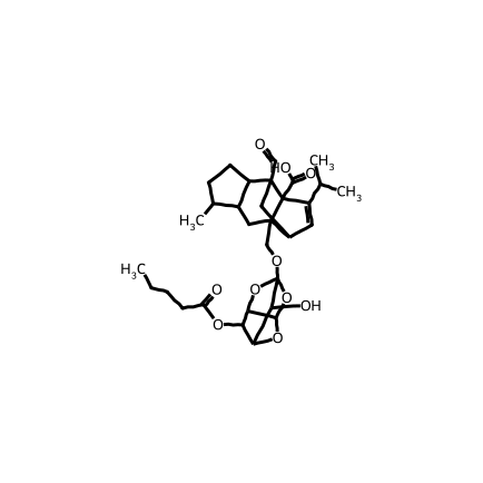 CCCCC(=O)OC1C2OC3(OCC45CC6C(C)CCC6C6(C=O)CC4C=C(C(C)C)C65C(=O)O)OC2OC1C3O